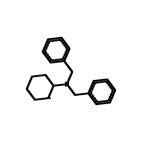 [CH]1CCCCC1N(Cc1ccccc1)Cc1ccccc1